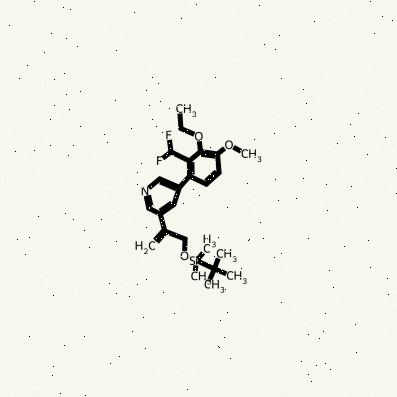 C=C(CO[Si](C)(C)C(C)(C)C)c1cncc(-c2ccc(OC)c(OCC)c2C(F)F)c1